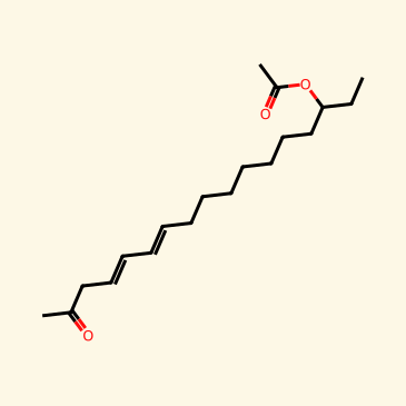 CCC(CCCCCCCC=CC=CCC(C)=O)OC(C)=O